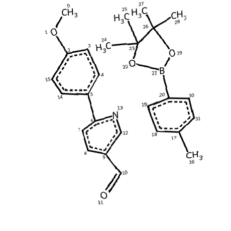 COc1ccc(-c2ccc(C=O)cn2)cc1.Cc1ccc(B2OC(C)(C)C(C)(C)O2)cc1